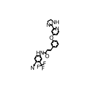 N#Cc1ccc(NC(=O)C=Cc2cccc(Oc3ccnc(C4=NCCN4)c3)c2)cc1C(F)(F)F